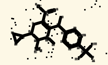 CC(C1=C([N+](=O)[O-])CN(C2CC2)C(N)N1C)c1ccc(C(F)(F)F)nc1